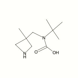 CC1(CN(C(=O)O)C(C)(C)C)CNC1